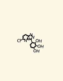 Oc1ccc(-c2nnc3ccc(Cl)nn23)c(O)c1O